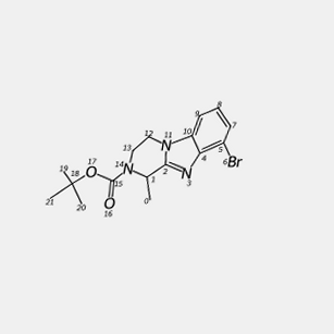 CC1c2nc3c(Br)cccc3n2CCN1C(=O)OC(C)(C)C